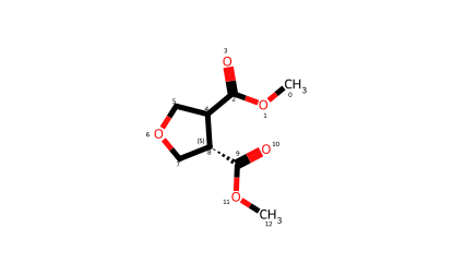 COC(=O)C1COC[C@H]1C(=O)OC